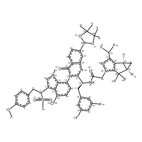 COc1ccc(CN(c2nn(C)c3c(-n4c([C@H](Cc5cc(F)cc(F)c5)NC(=O)Cn5nc(C(F)F)c6c5C(F)(F)[C@@H]5C[C@]65C)nc5cc(B6OC(C)(C)C(C)(C)O6)ccc5c4=O)ccc(Cl)c23)S(C)(=O)=O)cc1